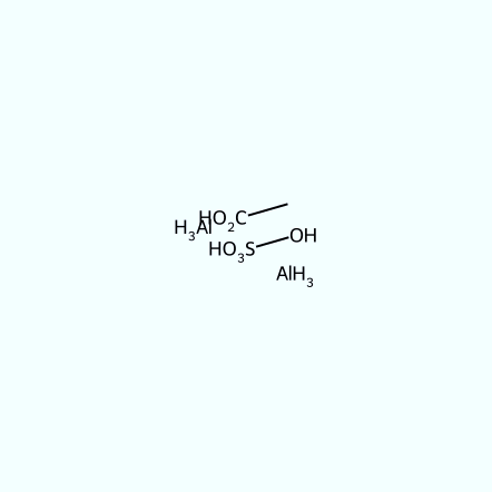 CC(=O)O.O=S(=O)(O)O.[AlH3].[AlH3]